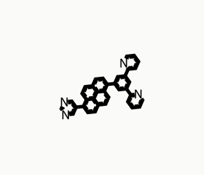 c1ccc(-c2cc(-c3ccccn3)cc(-c3ccc4ccc5c(-c6cncnc6)ccc6ccc3c4c65)c2)nc1